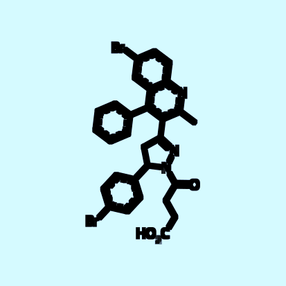 Cc1nc2ccc(Br)cc2c(-c2ccccc2)c1C1=NN(C(=O)CCC(=O)O)C(c2ccc(Br)cc2)C1